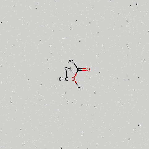 CC=O.CCOC(=O)C(C)=O